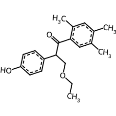 CCOCC(C(=O)c1cc(C)c(C)cc1C)c1ccc(O)cc1